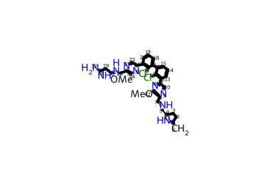 C=C1CC[C@H](CNCc2ncc(-c3cccc(-c4cccc(-c5cnc(CNCCC(=N)N)c(OC)n5)c4Cl)c3Cl)nc2OC)N1